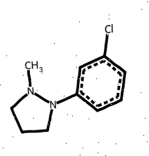 CN1CCCN1c1cccc(Cl)c1